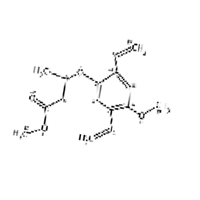 C=Cc1cc(OC(C)CC(=O)OC)c(C=C)cc1OC